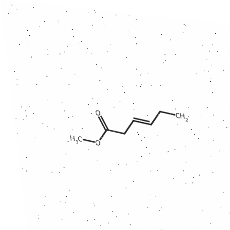 [CH2]C/C=C/CC(=O)OC